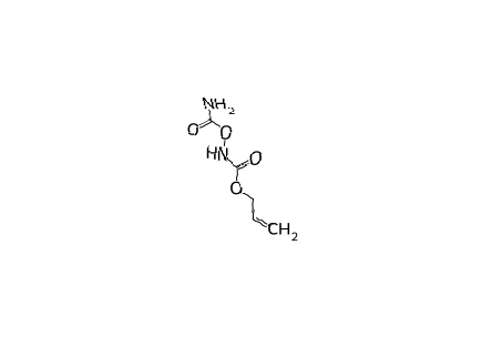 C=CCOC(=O)NOC(N)=O